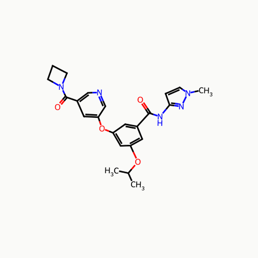 CC(C)Oc1cc(Oc2cncc(C(=O)N3CCC3)c2)cc(C(=O)Nc2ccn(C)n2)c1